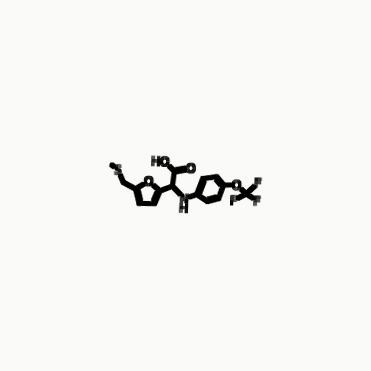 CSCc1ccc(C(Nc2ccc(OC(F)(F)F)cc2)C(=O)O)o1